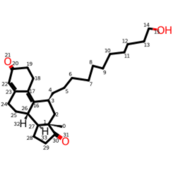 C[C@]12C[C@H](CCCCCCCCCCCO)C3=C4CCC(=O)C=C4CC[C@H]3[C@@H]1CCC2=O